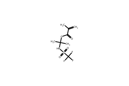 C=C(C)C(=O)OC(C)(C)NS(=O)(=O)C(F)(F)F